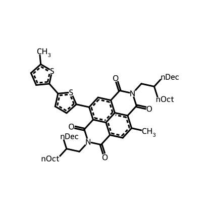 CCCCCCCCCCC(CCCCCCCC)CN1C(=O)c2cc(-c3ccc(-c4ccc(C)s4)s3)c3c4c(cc(C)c(c24)C1=O)C(=O)N(CC(CCCCCCCC)CCCCCCCCCC)C3=O